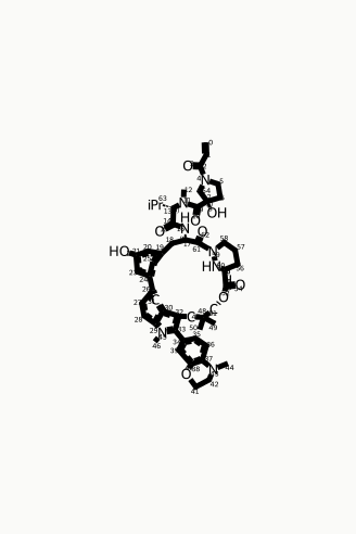 C=CC(=O)N1CC[C@](O)(C(=O)N(C)[C@H](C(=O)N[C@H]2Cc3cc(O)cc(c3)-c3ccc4c(c3)c(c(-c3ccc5c(c3)OCCN5C)n4C)CC(C)(C)COC(=O)[C@@H]3CCCN(N3)C2=O)C(C)C)C1